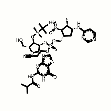 CC(C)C(=O)Nc1nc2c(ncn2[C@@H]2O[C@H](CO)C(O[Si](C)(C)C(C)(C)C)[C@H]2OP(=S)(OCCC#N)OC[C@H]2C[C@@H](Nc3ccncn3)[C@H](F)[C@@H]2[PH](=O)O)c(=O)[nH]1